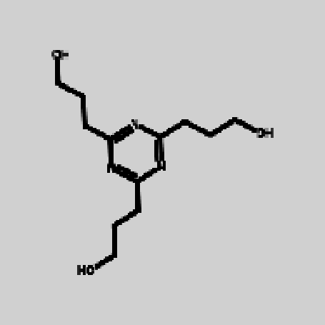 OCCCc1nc(CCCO)nc(CCCO)n1